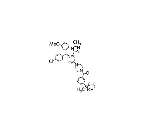 COc1ccc2c(c1)C(c1ccc(Cl)cc1)=N[C@@H](CC(=O)N1CCN(C(=O)c3cccc([Si](C)(C)O)c3)CC1)c1nnc(C)n1-2